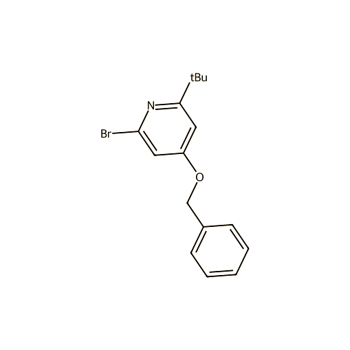 CC(C)(C)c1cc(OCc2ccccc2)cc(Br)n1